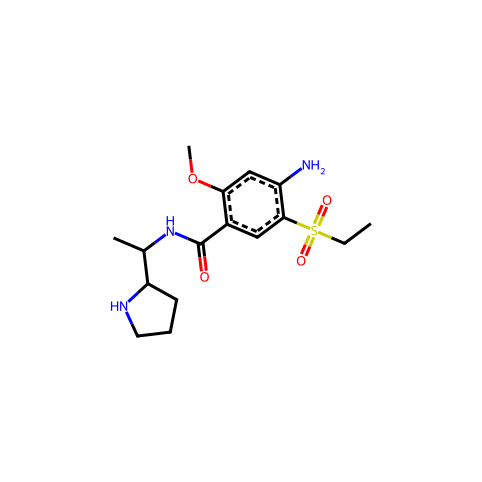 CCS(=O)(=O)c1cc(C(=O)NC(C)C2CCCN2)c(OC)cc1N